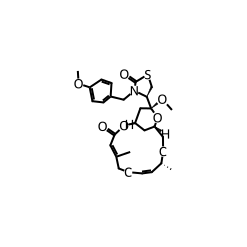 COc1ccc(CN2C(=O)SC[C@H]2[C@@]2(OC)C[C@H]3C[C@@H](CC[C@H](C)/C=C\CC/C(C)=C/C(=O)O3)O2)cc1